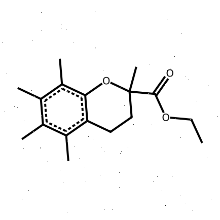 CCOC(=O)C1(C)CCc2c(C)c(C)c(C)c(C)c2O1